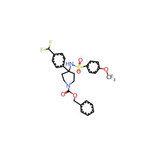 O=C(OCc1ccccc1)N1CCC(NS(=O)(=O)c2ccc(OC(F)(F)F)cc2)(c2ccc(C(F)F)cc2)CC1